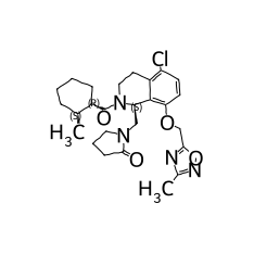 Cc1noc(COc2ccc(Cl)c3c2[C@@H](CN2CCCC2=O)N(C(=O)[C@@H]2CCCC[C@@H]2C)CC3)n1